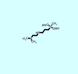 CO[Si](C)(CCCNCCN(C)C)OC